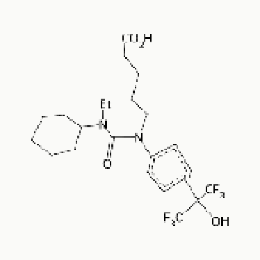 CCN(C(=O)N(CCCCC(=O)O)c1ccc(C(O)(C(F)(F)F)C(F)(F)F)cc1)C1CCCCC1